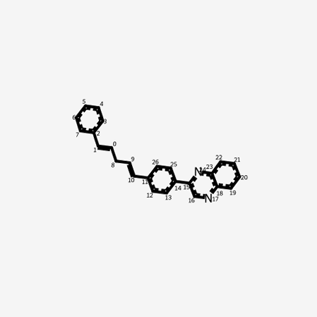 C(=Cc1ccccc1)CC=Cc1ccc(-c2cnc3ccccc3n2)cc1